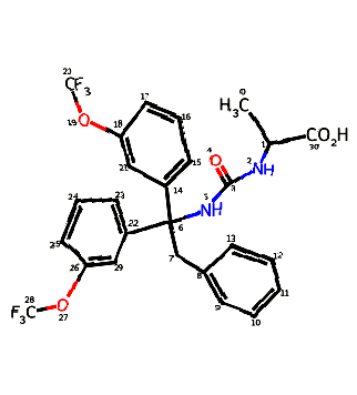 CC(NC(=O)NC(Cc1ccccc1)(c1cccc(OC(F)(F)F)c1)c1cccc(OC(F)(F)F)c1)C(=O)O